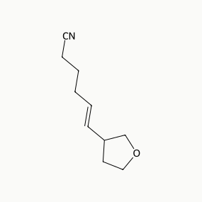 N#CCCC/C=C/C1CCOC1